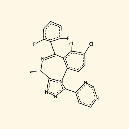 C[C@@H]1N=C(c2c(F)cccc2F)c2c(ccc(Cl)c2Cl)-n2c(-c3ccncn3)nnc21